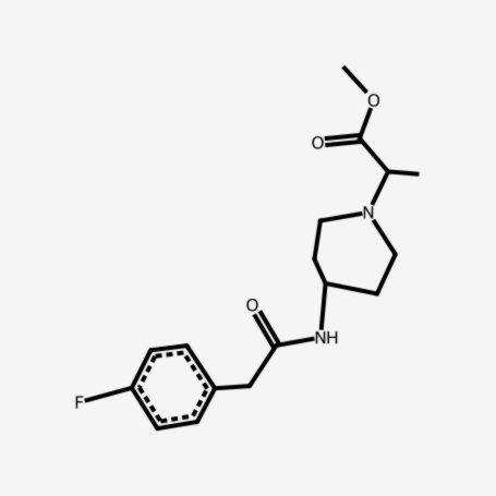 COC(=O)C(C)N1CCC(NC(=O)Cc2ccc(F)cc2)CC1